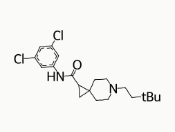 CC(C)(C)CCN1CCC2(CC1)CC2C(=O)Nc1cc(Cl)cc(Cl)c1